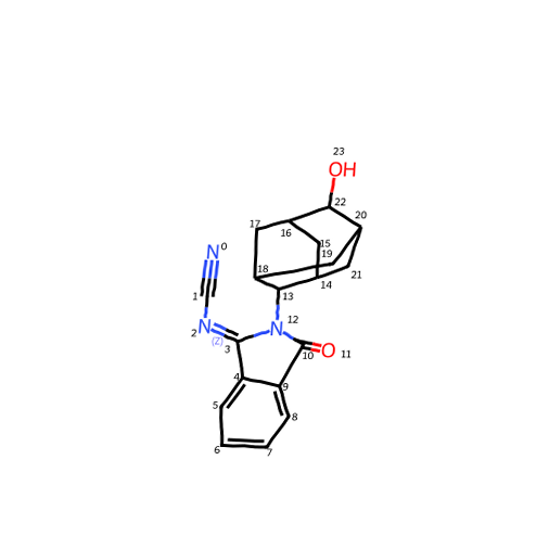 N#C/N=C1/c2ccccc2C(=O)N1C1C2CC3CC1CC(C2)C3O